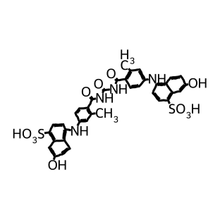 Cc1cc(Nc2ccc(S(=O)(=O)O)c3cc(O)ccc23)ccc1C(=O)NC(=O)NC(=O)c1ccc(Nc2ccc(S(=O)(=O)O)c3cc(O)ccc23)cc1C